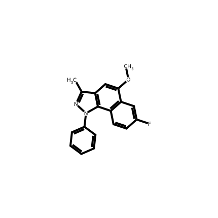 COc1cc2c(C)nn(-c3ccccc3)c2c2ccc(F)cc12